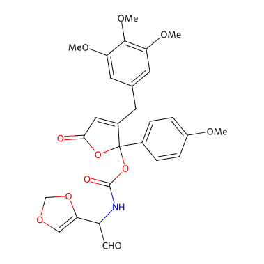 COc1ccc(C2(OC(=O)NC(C=O)C3=COCO3)OC(=O)C=C2Cc2cc(OC)c(OC)c(OC)c2)cc1